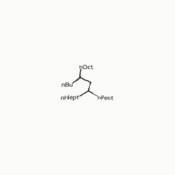 CCCCCCCCC(CCCC)CC(CCCCC)CCCCCCC